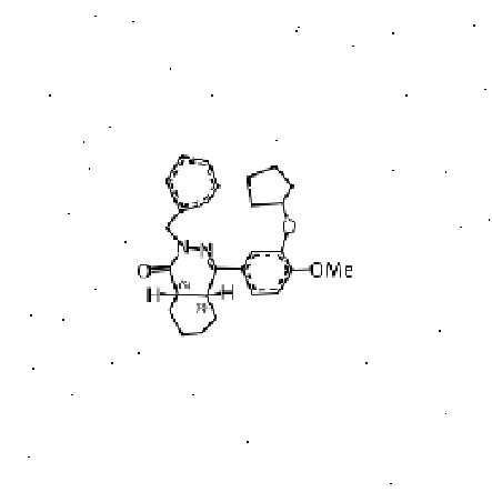 COc1ccc(C2=NN(Cc3ccccc3)C(=O)[C@H]3CCCC[C@@H]23)cc1OC1CCCC1